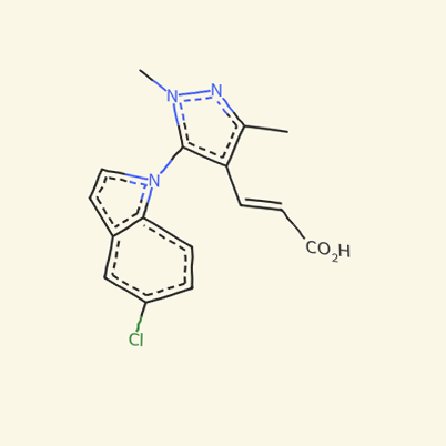 Cc1nn(C)c(-n2ccc3cc(Cl)ccc32)c1C=CC(=O)O